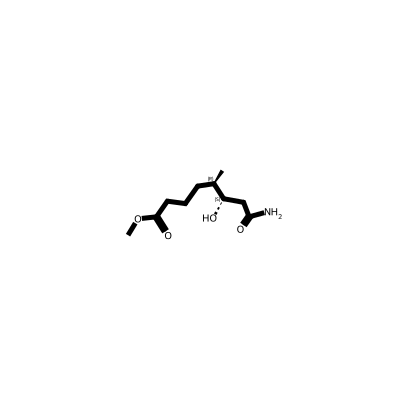 COC(=O)CCC[C@@H](C)[C@@H](O)CC(N)=O